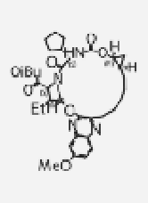 CC[C@@H]1[C@@H]2CN(C(=O)[C@H](C3CCCC3)NC(=O)O[C@@H]3C[C@H]3CCCCCc3nc4ccc(OC)cc4nc3O2)[C@@H]1C(=O)OCC(C)C